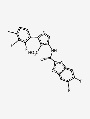 Cc1ccc(-c2scc(NC(=O)c3nc4cc(F)c(F)cc4o3)c2C(=O)O)c(F)c1F